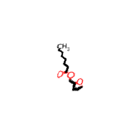 CCCCCCCC(=O)OCc1ccco1